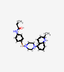 C=CC(=O)Nc1ccc(SN2CCN(c3cccc4nc(C)ccc34)CC2)cc1